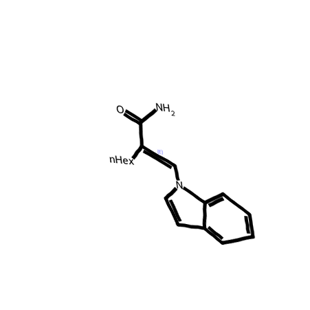 CCCCCC/C(=C\n1ccc2ccccc21)C(N)=O